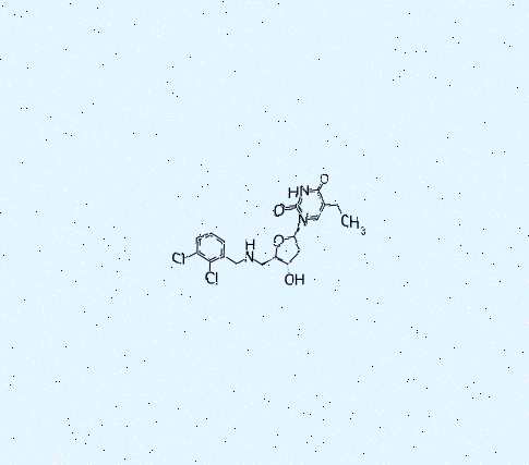 CCc1cn([C@H]2C[C@H](O)[C@@H](CNCc3cccc(Cl)c3Cl)O2)c(=O)[nH]c1=O